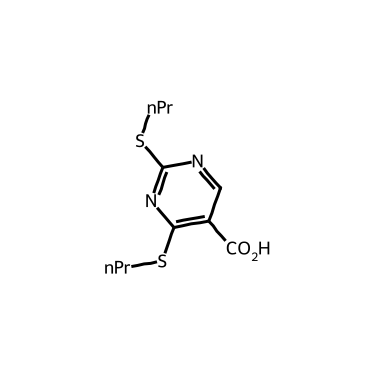 CCCSc1ncc(C(=O)O)c(SCCC)n1